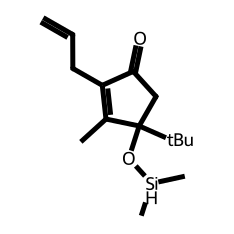 C=CCC1=C(C)C(O[SiH](C)C)(C(C)(C)C)CC1=O